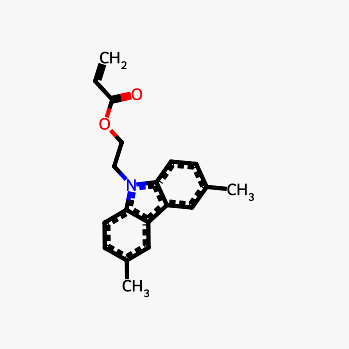 C=CC(=O)OCCn1c2ccc(C)cc2c2cc(C)ccc21